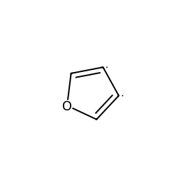 [c]1[c]coc1